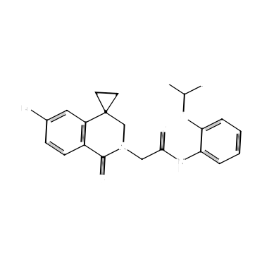 O=C(CN1CC2(CC2)c2cc(Br)ccc2C1=O)Nc1ccccc1OC(F)F